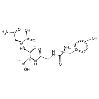 C[C@@H](O)[C@H](NC(=O)CNC(=O)[C@@H](N)Cc1ccc(O)cc1)C(=O)N[C@@H](CC(N)=O)C(=O)O